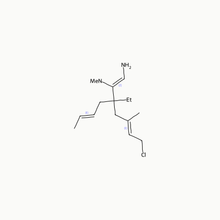 C/C=C/CC(CC)(C/C(C)=C/CCl)/C(=C/N)NC